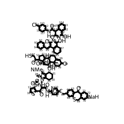 CN1/C(=C(\O)Nc2ccccn2)C(=O)c2sccc2S1(=O)=O.CNc1c2c(nn1C)CCCC2.C[C@]12CCC(=O)C=C1CC[C@@H]1[C@@H]2[C@@H](O)C[C@@]2(C)[C@H]1CC[C@]2(O)C(=O)CS.O=C(O)Cc1ccc2c(c1)SCc1ccccc1C2=O.O=C1N=C(O)C2=C(CCCC2)/C1=C/c1ccccc1.O=C1N=C(O)c2ccccc2C1C(=O)Nc1ccc(Cl)cc1.[NaH]